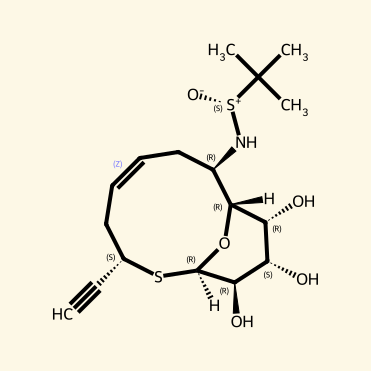 C#C[C@@H]1C/C=C\C[C@@H](N[S@+]([O-])C(C)(C)C)[C@H]2O[C@H](S1)[C@H](O)[C@@H](O)[C@H]2O